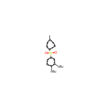 CCCCc1ccc(S(=O)(=O)c2ccc(C)cc2)cc1CCCC